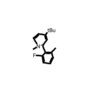 Cc1cccc(F)c1-c1cc(C(C)(C)C)cc[n+]1C